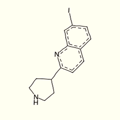 Ic1ccc2ccc(C3CCNCC3)nc2c1